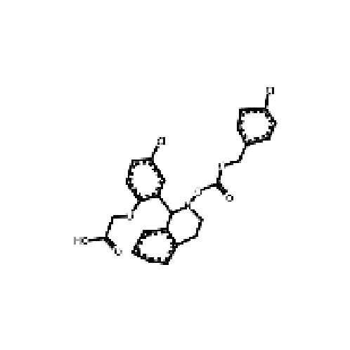 O=C(O)COc1ccc(Cl)cc1C1c2ccccc2CCN1OC(=O)OCc1ccc(Cl)cc1